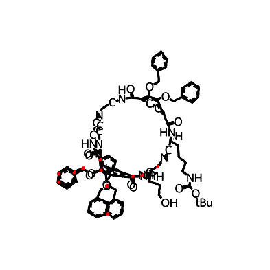 CC(C)(C)OC(=O)NCCCC[C@H]1CN2CCNC(=O)c3ccc(c(OCc4ccccc4)c3OCc3ccccc3)C(=O)NCCN(CCNC(=O)c3ccc(c(OCc4ccccc4)c3OCc3ccccc3)C(=O)N[C@@H](CCCO)C2)CCNC(=O)c2ccc(c(OCc3ccccc3)c2OCc2ccccc2)C(=O)N1